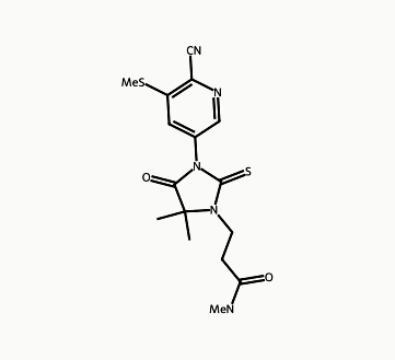 CNC(=O)CCN1C(=S)N(c2cnc(C#N)c(SC)c2)C(=O)C1(C)C